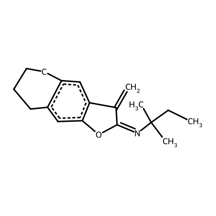 C=C1/C(=N\C(C)(C)CC)Oc2cc3c(cc21)CCCC3